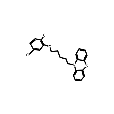 Clc1ccc(Cl)c(OCCCCCN2c3ccccc3Sc3ccccc32)c1